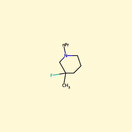 CCCN1CCCC(C)(F)C1